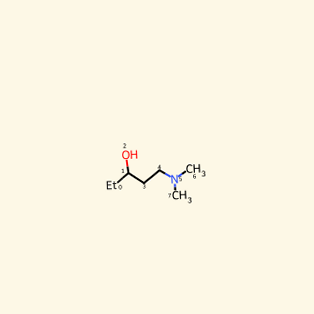 CCC(O)CCN(C)C